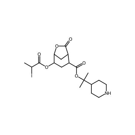 CC(I)C(=O)OC1CC(C(=O)OC(C)(C)C2CCNCC2)C2CC1OC2=O